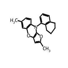 Cc1ccc2c(c1)Oc1cc(C)oc1N2c1cccc2c1CCCC2